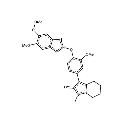 COOc1cc2nn(Oc3ccc(-c4c5n(n(C)c4=O)CCCC5)cc3OC)cc2cc1OC